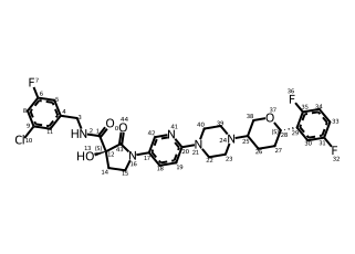 O=C(NCc1cc(F)cc(Cl)c1)[C@@]1(O)CCN(c2ccc(N3CCN(C4CC[C@@H](c5cc(F)ccc5F)OC4)CC3)nc2)C1=O